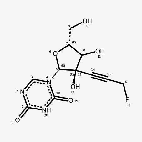 O=c1ncn([C@@H]2O[C@H](CO)C(O)[C@]2(O)C#CCF)c(=O)[nH]1